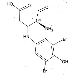 N[C@H](C=O)C(CC(=O)O)Nc1cc(Br)c(O)c(Br)c1